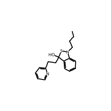 CCCCN1SC(O)(CCc2ccccn2)c2ccccc21